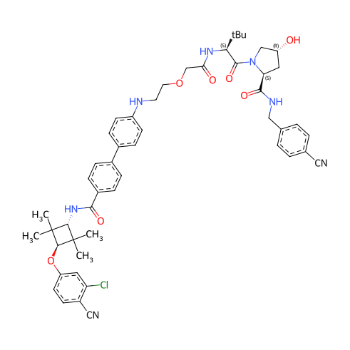 CC(C)(C)[C@H](NC(=O)COCCNc1ccc(-c2ccc(C(=O)N[C@H]3C(C)(C)[C@H](Oc4ccc(C#N)c(Cl)c4)C3(C)C)cc2)cc1)C(=O)N1C[C@H](O)C[C@H]1C(=O)NCc1ccc(C#N)cc1